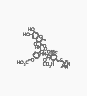 CO[C@@]1(NC(=O)C(NC(=O)c2c(C)oc3cc(O)c(O)cc3c2=O)c2ccc(OCC(=O)O)cc2)C(=O)N2C(C(=O)O)=C(CSc3nnnn3C)CS[C@H]21